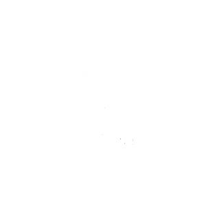 [NH]C(=O)CCCS(=O)(=O)O